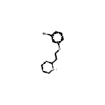 CC(C)(C)c1cccc(OCCC2CCCCN2)c1